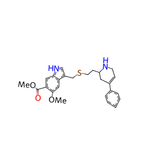 COC(=O)c1cc2[nH]cc(CSCCC3CC(c4ccccc4)=CCN3)c2cc1OC